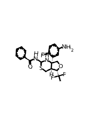 CC(F)(F)[C@H]1OC[C@]2(c3cc(N)ccc3F)NC(NC(=O)c3ccccc3)SC[C@H]12